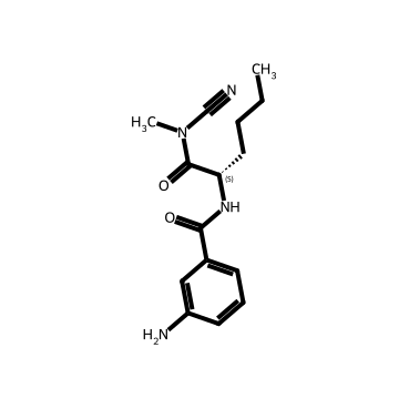 CCCC[C@H](NC(=O)c1cccc(N)c1)C(=O)N(C)C#N